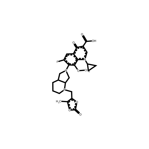 COc1c(N2CC3CCCN(Cc4oc(=O)oc4C)C3C2)c(F)cc2c(=O)c(C(=O)O)cn(C3CC3)c12